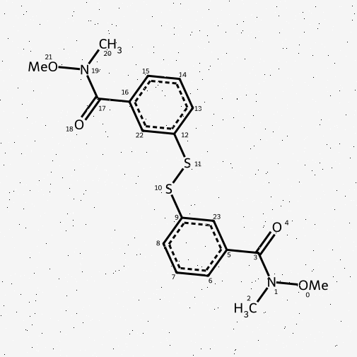 CON(C)C(=O)c1cccc(SSc2cccc(C(=O)N(C)OC)c2)c1